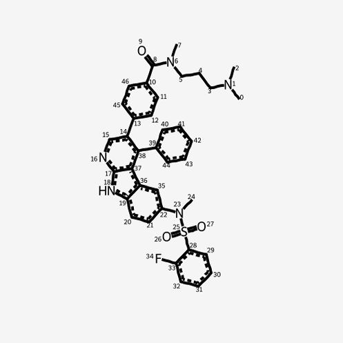 CN(C)CCCN(C)C(=O)c1ccc(-c2cnc3[nH]c4ccc(N(C)S(=O)(=O)c5ccccc5F)cc4c3c2-c2ccccc2)cc1